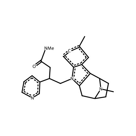 CNC(=O)CC(Cn1c2c(c3cc(C)ccc31)C1CCC(C2)N1C)c1cccnc1